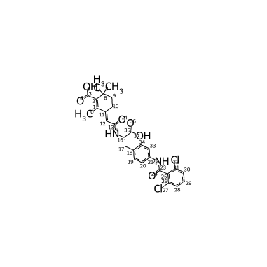 CC1=C(C(=O)O)C(C)(C)CC/C1=C\C(=O)N[C@@H](Cc1ccc(NC(=O)c2c(Cl)cccc2Cl)cc1)C(=O)O